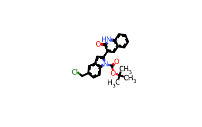 CC(C)(C)OC(=O)n1c(-c2cc3ccccc3[nH]c2=O)cc2cc(CCl)ccc21